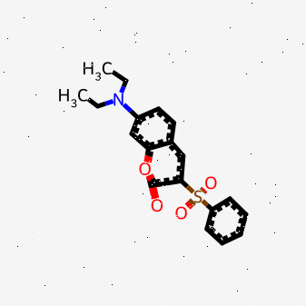 CCN(CC)c1ccc2cc(S(=O)(=O)c3ccccc3)c(=O)oc2c1